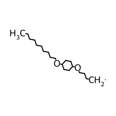 [CH2]CCCOC1CCC(OCCCCCCCCCC)CC1